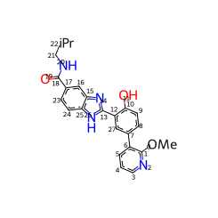 COc1ncccc1-c1ccc(O)c(-c2nc3cc(C(=O)NCC(C)C)ccc3[nH]2)c1